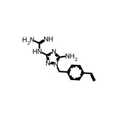 C=Cc1ccc(Cn2nc(NC(=N)N)nc2N)cc1